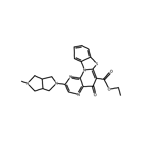 CCOC(=O)c1c(=O)c2ncc(N3CC4CN(C)CC4C3)nc2n2c1sc1ccccc12